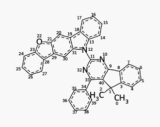 CC1(C)c2ccccc2-c2nc(-n3c4ccccc4c4cc5oc6ccccc6c5cc43)nc(-c3ccccc3)c21